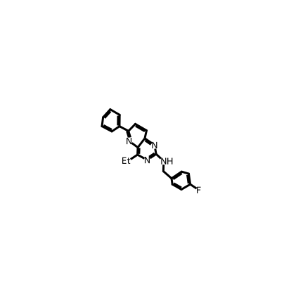 CCc1nc(NCc2ccc(F)cc2)nc2ccc(-c3ccccc3)nc12